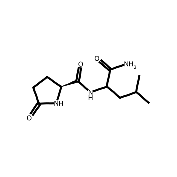 CC(C)CC(NC(=O)[C@@H]1CCC(=O)N1)C(N)=O